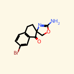 NC1=NC2(CCc3ccc(Br)cc3C2=O)CO1